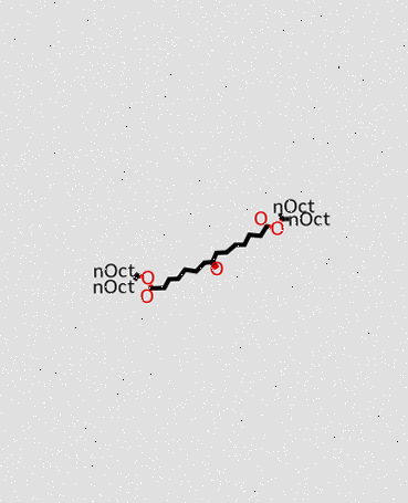 CCCCCCCCC(CCCCCCCC)OC(=O)CCCCCCC(=O)CCCCCCC(=O)OC(CCCCCCCC)CCCCCCCC